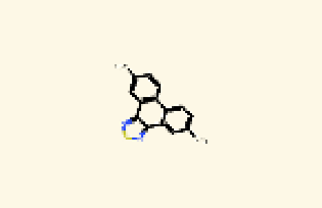 Cc1ccc2c3ccc(C)cc3c3nsnc3c2c1